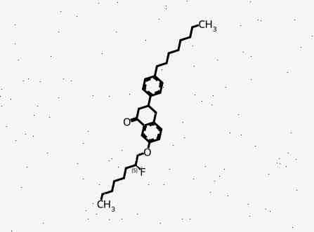 CCCCCCCCc1ccc(C2CC(=O)c3cc(OC[C@@H](F)CCCCCC)ccc3C2)cc1